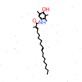 CCCCCCCCC=CCCCCCC=C(C)C(=O)Nc1cc(C)c(O)c(C)c1C